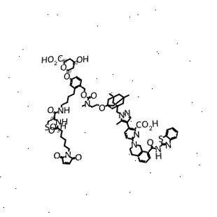 Cc1c(-c2ccc(N3CCc4cccc(C(=O)Nc5nc6ccccc6s5)c4C3)nc2C(=O)O)cnn1CC12CC3(C)CC(C)(C1)CC(OCCN(C)C(=O)OCc1ccc(O[C@H]4C[C@@H](O)C[C@@H](C(=O)O)O4)cc1CCCCNC(=O)[C@H](CS(=O)(=O)O)NC(=O)CCCCCN1C(=O)C=CC1=O)(C3)C2